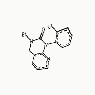 CCN1Cc2cccnc2N(c2ccccc2Cl)C1=O